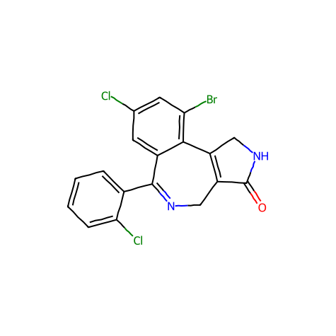 O=C1NCC2=C1CN=C(c1ccccc1Cl)c1cc(Cl)cc(Br)c12